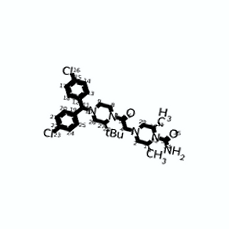 C[C@@H]1CN(CC(=O)N2CCN(C(c3ccc(Cl)cc3)c3ccc(Cl)cc3)C[C@@H]2C(C)(C)C)C[C@H](C)N1C(N)=O